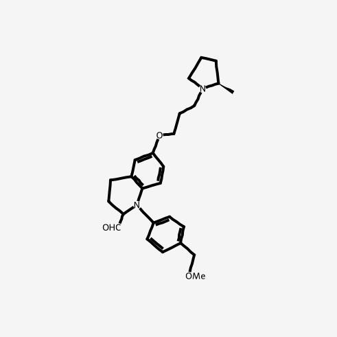 COCc1ccc(N2c3ccc(OCCCN4CCC[C@H]4C)cc3CCC2C=O)cc1